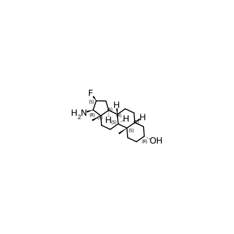 C[C@]12CC[C@@H](O)C[C@H]1CC[C@@H]1[C@@H]2CC[C@]2(C)[C@@H](N)[C@@H](F)C[C@@H]12